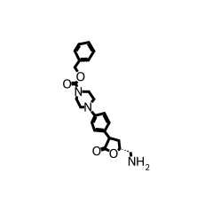 NC[C@H]1CC(c2ccc(N3CCN(C(=O)OCc4ccccc4)CC3)cc2)C(=O)O1